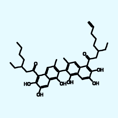 C=CCCCC(CC)CC(=O)c1c(O)c(O)cc2c(O)c(-c3c(C)cc4c(C(=O)CC(CC)CCCC)c(O)c(O)cc4c3O)c(C)cc12